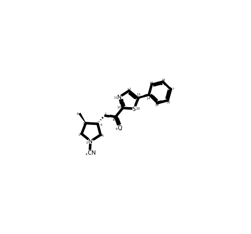 C[C@@H]1CN(C#N)C[C@H]1CC(=O)c1ncc(-c2ccccc2)s1